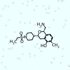 CCS(=O)(=O)N1CCC([C@@H]2Cc3c(ccc(C)c3O)[C@H](CN)O2)CC1